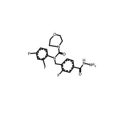 NNC(=O)c1ccc(CN(C(=O)N2CCOCC2)c2ccc(F)cc2F)c(F)c1